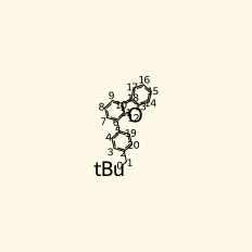 CC(C)(C)Cc1ccc(-c2cccc3c2oc2ccccc23)cc1